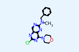 CN(Cc1ccccc1)c1ncc2nc(Cl)nc(N3CCOCC3)c2n1